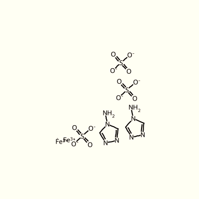 Nn1cnnc1.Nn1cnnc1.O=S(=O)([O-])[O-].O=S(=O)([O-])[O-].O=S(=O)([O-])[O-].[Fe+3].[Fe+3]